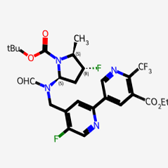 CCOC(=O)c1cc(-c2cc(CN(C=O)[C@@H]3C[C@@H](F)[C@H](C)N3C(=O)OC(C)(C)C)c(F)cn2)cnc1C(F)(F)F